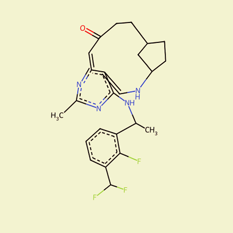 Cc1nc(NC(C)c2cccc(C(F)F)c2F)c2/c(n1)=C\C(=O)CCC1CCC(C1)N/C=2